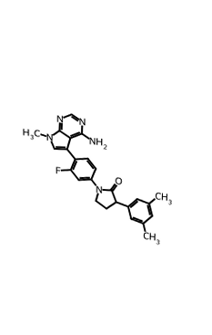 Cc1cc(C)cc(C2CCN(c3ccc(-c4cn(C)c5ncnc(N)c45)c(F)c3)C2=O)c1